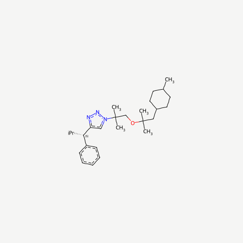 CC1CCC(CC(C)(C)OCC(C)(C)n2cc([C@H](c3ccccc3)C(C)C)nn2)CC1